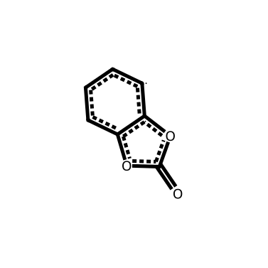 O=c1oc2[c]cccc2o1